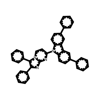 c1ccc(-c2ccc3c(c2)c2cc(-c4ccccc4)ccc2n3-c2ccn3c(-c4ccccc4)c(-c4ccccc4)nc3n2)cc1